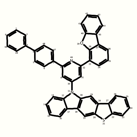 c1ccc(-c2ccc(-c3cc(-n4c5ccccc5c5cc6sc7ccccc7c6cc54)cc(-c4cccc5c4oc4ccccc45)n3)cc2)cc1